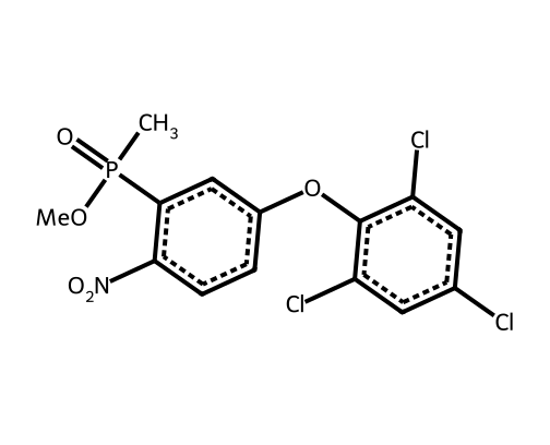 COP(C)(=O)c1cc(Oc2c(Cl)cc(Cl)cc2Cl)ccc1[N+](=O)[O-]